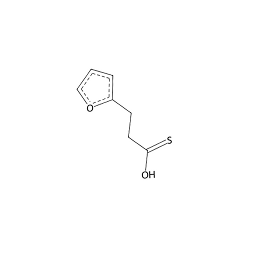 OC(=S)CCc1ccco1